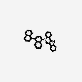 c1ccc2c(-c3ccc(-n4cc5c6ccccc6nc-5c5ccccc54)c4ccccc34)cccc2c1